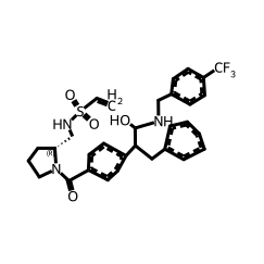 C=CS(=O)(=O)NC[C@H]1CCCN1C(=O)c1ccc(C(Cc2ccccc2)C(O)NCc2ccc(C(F)(F)F)cc2)cc1